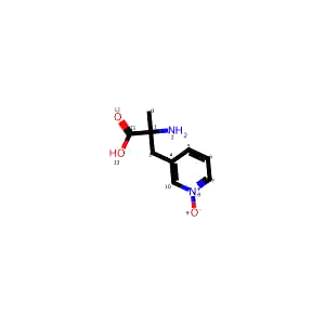 CC(N)(Cc1ccc[n+]([O-])c1)C(=O)O